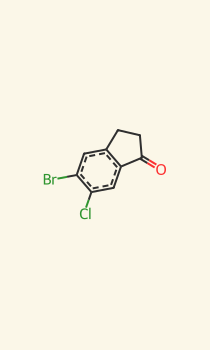 O=C1CCc2cc(Br)c(Cl)cc21